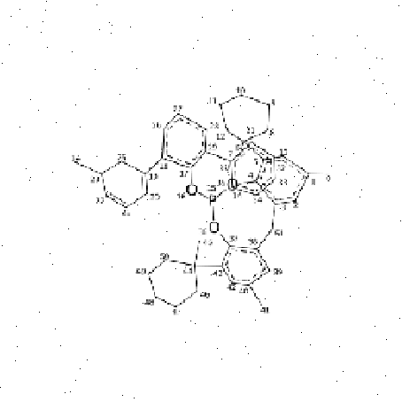 Cc1cc2c(c(C3(C)CCCCC3)c1)OP(Oc1c(C3=CC=CC(C)C3)cccc1-c1ccccc1)Oc1c(cc(C)cc1C1(C)CCCCC1)C2